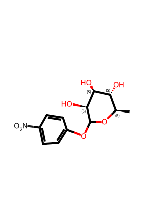 C[C@H]1OC(Oc2ccc([N+](=O)[O-])cc2)[C@@H](O)[C@@H](O)[C@@H]1O